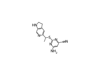 CC(Sc1nc(N)cc(C#N)n1)c1cc2c(cn1)NCC2